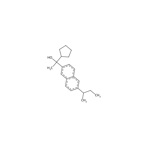 CCC(C)c1ccc2cc(C(C)(O)C3CCCC3)ccc2c1